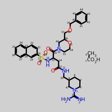 CC(=O)O.N=C(N)N1CCCC(CNC(=O)CC(NS(=O)(=O)c2ccc3ccccc3c2)C(=O)N2CCOC(COCc3ccccc3)C2)C1